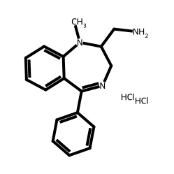 CN1c2ccccc2C(c2ccccc2)=NCC1CN.Cl.Cl